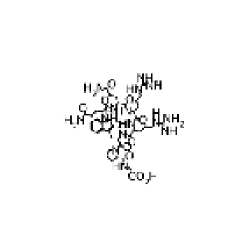 N=C(N)NCCC[C@H](NC(=O)[C@H](CCC(N)=O)NC(=O)[C@@H](N)CCC(N)=O)C(=O)N[C@@H](CCCNC(=N)N)C(=O)N[C@@H](Cc1c[nH]c2ccccc12)C(=O)N1CCC[C@H]1C(=O)NCC(=O)O